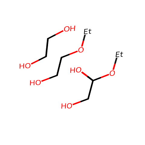 CCOC(O)CO.CCOCCO.OCCO